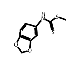 CSC(=S)Nc1ccc2c(c1)OCO2